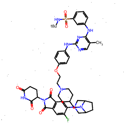 Cc1cnc(Nc2ccc(OCCN3CCC(CN4C5CCC4CN(c4cc6c(cc4F)C(=O)N(C4CCC(=O)NC4=O)C6=O)C5)CC3)cc2)nc1Nc1cccc(S(=O)(=O)NC(C)(C)C)c1